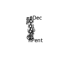 CCCCCCCCCCc1ccc(-c2ccc(-c3ccc(C4COC(CCCCC)OC4)c(F)c3F)cc2)c(F)c1F